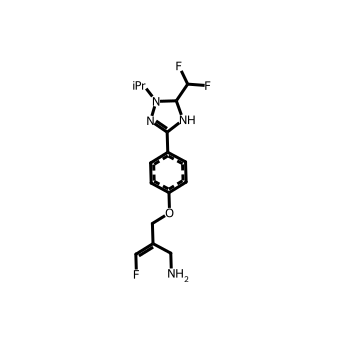 CC(C)N1N=C(c2ccc(OC/C(=C/F)CN)cc2)NC1C(F)F